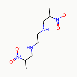 CC(CNCCNCC(C)[N+](=O)[O-])[N+](=O)[O-]